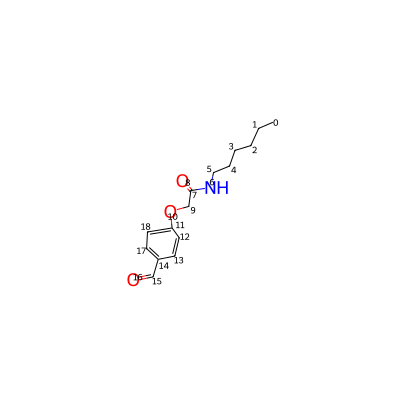 CCCCCCNC(=O)COc1ccc(C=O)cc1